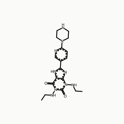 CCNn1c(=O)c2[nH]c(-c3ccc(N4CCNCC4)nc3)nc2n(NCC)c1=O